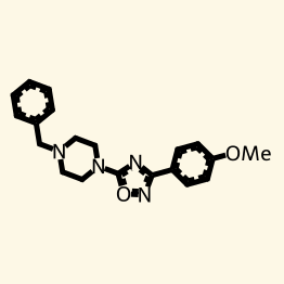 COc1ccc(-c2noc(N3CCN(Cc4ccccc4)CC3)n2)cc1